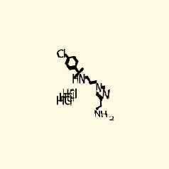 CC(C)(NCCCn1cnc(CCN)c1)c1ccc(Cl)cc1.Cl.Cl.Cl